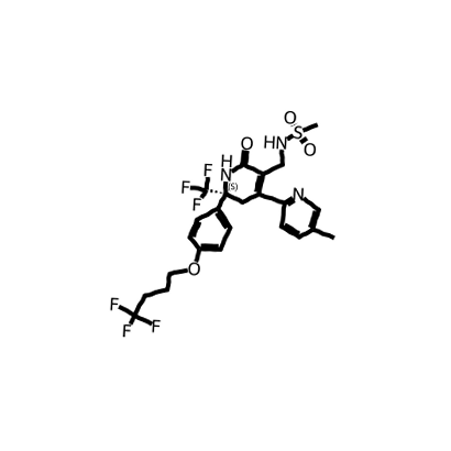 Cc1ccc(C2=C(CNS(C)(=O)=O)C(=O)N[C@@](c3ccc(OCCCC(F)(F)F)cc3)(C(F)(F)F)C2)nc1